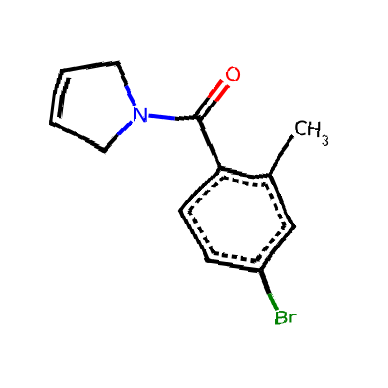 Cc1cc(Br)ccc1C(=O)N1CC=CC1